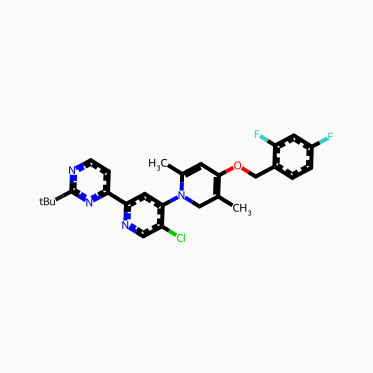 CC1=CC(OCc2ccc(F)cc2F)=C(C)CN1c1cc(-c2ccnc(C(C)(C)C)n2)ncc1Cl